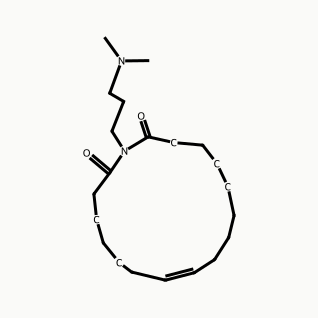 CN(C)CCCN1C(=O)CCCCC/C=C\CCCCCCCC1=O